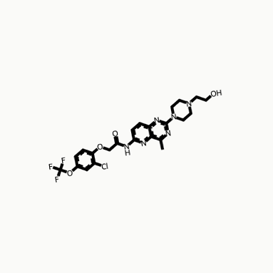 Cc1nc(N2CCN(CCO)CC2)nc2ccc(NC(=O)COc3ccc(OC(F)(F)F)cc3Cl)nc12